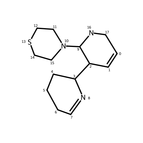 C1=CC(C2CCCC=N2)C(N2CCSCC2)[N]C1